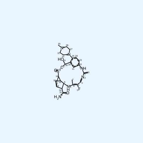 C=C1/N=C\C(F)=C(/C)NC2C3CC(CC3[S+]([O-])CC(O)c3cc(ccc3N3CCN(C)CC3)N1)C2C(N)=O